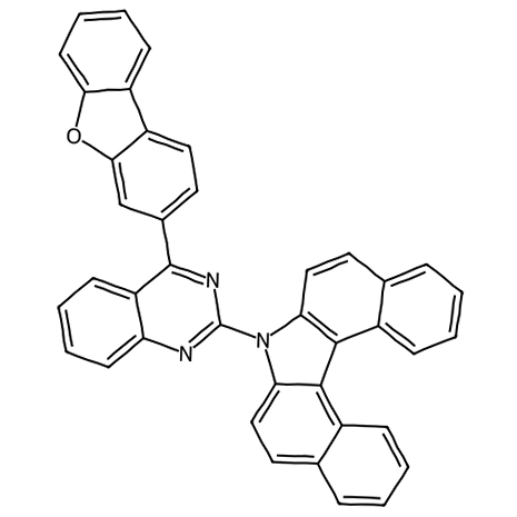 c1ccc2c(c1)ccc1c2c2c3ccccc3ccc2n1-c1nc(-c2ccc3c(c2)oc2ccccc23)c2ccccc2n1